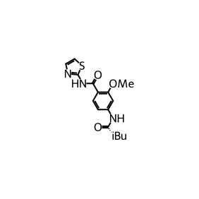 CC[C@@H](C)C(=O)Nc1ccc(C(=O)Nc2nccs2)c(OC)c1